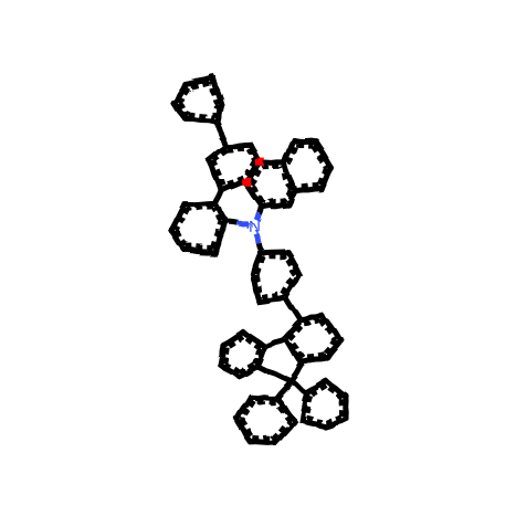 c1ccc(-c2cccc(-c3ccccc3N(c3ccc(-c4cccc5c4-c4ccccc4C5(c4ccccc4)c4ccccc4)cc3)c3ccc4ccccc4c3)c2)cc1